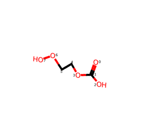 O=C(O)OCCOO